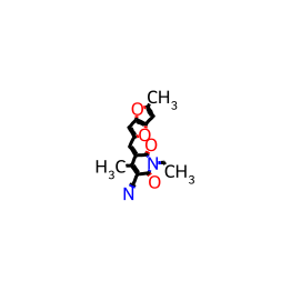 CCN1C(=O)C(C#N)=C(C)/C(=C/c2cc3oc(C)cc3o2)C1=O